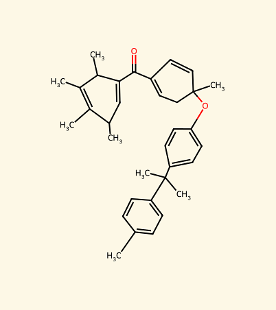 CC1=C(C)C(C)C(C(=O)C2=CCC(C)(Oc3ccc(C(C)(C)c4ccc(C)cc4)cc3)C=C2)=CC1C